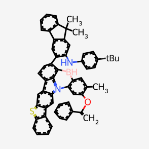 C=C(Oc1cc2c(cc1C)Bc1c(-c3cc4c(cc3Nc3ccc(C(C)(C)C)cc3)C(C)(C)c3ccccc3-4)ccc3c4cc5sc6ccccc6c5cc4n-2c13)c1ccccc1